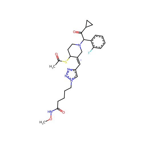 CONC(=O)CCCCn1cc(/C=C2/CN(C(C(=O)C3CC3)c3ccccc3F)CCC2SC(C)=O)nn1